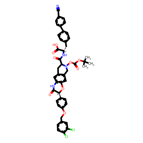 CC(C)(C)OC(=O)ON1Cc2cc3c(cc2CC1C(=O)N[C@@H](Cc1ccc(-c2ccc(C#N)cc2)cc1)C(=O)O)NC(=O)[C@H](c1ccc(OCc2ccc(Cl)c(Cl)c2)cc1)O3